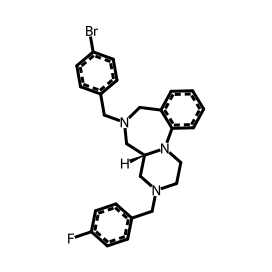 Fc1ccc(CN2CCN3c4ccccc4CN(Cc4ccc(Br)cc4)C[C@H]3C2)cc1